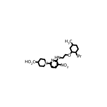 CC1CCC(C(C)C)C(OCCNc2nc(N3CCC(C(=O)O)CC3)ccc2[N+](=O)[O-])C1